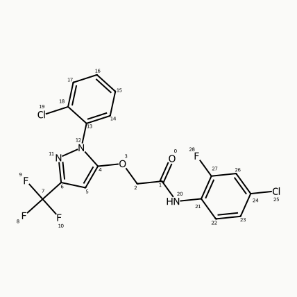 O=C(COc1cc(C(F)(F)F)nn1-c1ccccc1Cl)Nc1ccc(Cl)cc1F